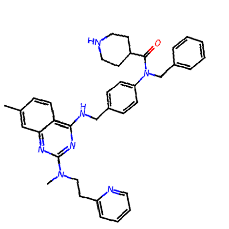 Cc1ccc2c(NCc3ccc(N(Cc4ccccc4)C(=O)C4CCNCC4)cc3)nc(N(C)CCc3ccccn3)nc2c1